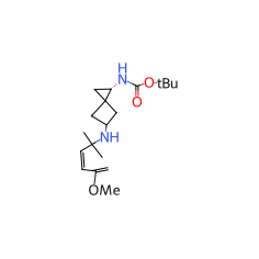 C=C(/C=C\C(C)(C)NC1CC2(C1)C[C@@H]2NC(=O)OC(C)(C)C)OC